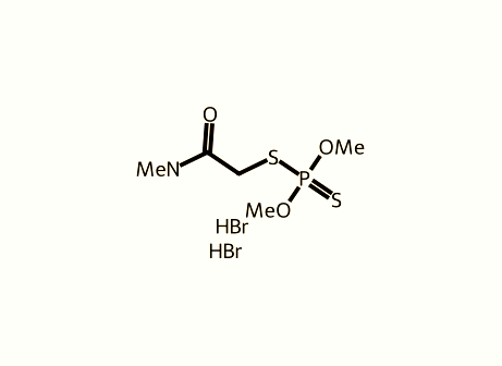 Br.Br.CNC(=O)CSP(=S)(OC)OC